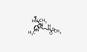 COC(=O)NCCCn1nc(C(C)NC2CC2)c2ccc(C)nc21